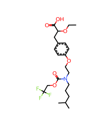 CCOC(Cc1ccc(OCCN(CCCC(C)C)C(=O)OCC(F)(F)F)cc1)C(=O)O